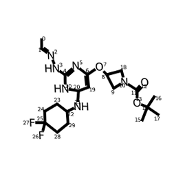 C/C=N/NC1=NC(OC2CN(C(=O)OC(C)(C)C)C2)=CC(NC2CCC(F)(F)CC2)N1